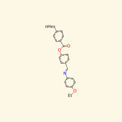 CCCCCCc1ccc(C(=O)Oc2ccc(/C=N/c3ccc(OCC)cc3)cc2)cc1